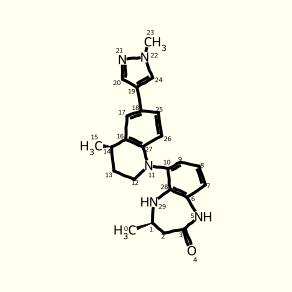 C[C@@H]1CC(=O)Nc2cccc(N3CC[C@@H](C)c4cc(-c5cnn(C)c5)ccc43)c2N1